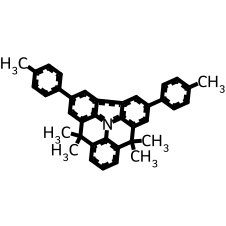 Cc1ccc(-c2cc3c4c(c2)c2cc(-c5ccc(C)cc5)cc5c2n4-c2c(cccc2C5(C)C)C3(C)C)cc1